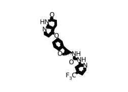 O=C1CCc2c(Oc3ccc4c(c3)C3C(O4)[C@@H]3NC(=O)Nc3cc(C(F)(F)F)ccn3)ccnc2N1